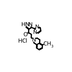 Cc1cccc2c1CCN(CCC(=O)c1c[nH]nc1-c1ncccn1)C2.Cl